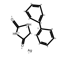 O=C1CNC(=O)N1.[Ag].c1ccc(-c2ccccc2)cc1